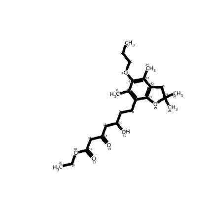 CCCOc1c(C)c(CCC(O)CC(=O)CC(=O)OCC)c2c(c1C)CC(C)(C)O2